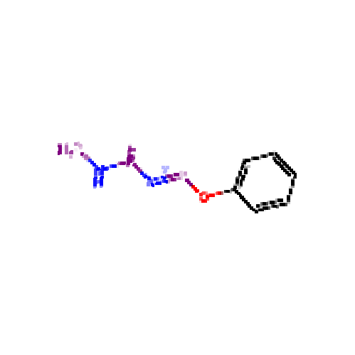 PNP/N=P/Oc1ccccc1